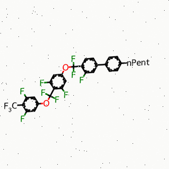 CCCCCc1ccc(-c2ccc(C(F)(F)Oc3cc(F)c(C(F)(F)Oc4cc(F)c(C(F)(F)F)c(F)c4)c(F)c3)c(F)c2)cc1